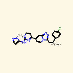 CO[C@@H](Cc1nnc2cc(-c3ccnc(Nc4ccnn4C)n3)ccn12)c1ccc(Cl)cc1